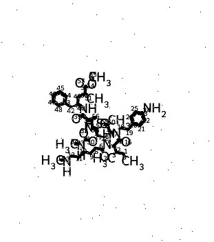 CC[C@H](C)[C@H](NC(=O)CCCCCNC)C(=O)N(CCc1ccc(N)cc1)[C@H](C[C@@H](OC(=O)NC)c1nc(C(=O)N[C@@H](Cc2ccccc2)CC(C)C(=O)OC)cs1)C(C)C